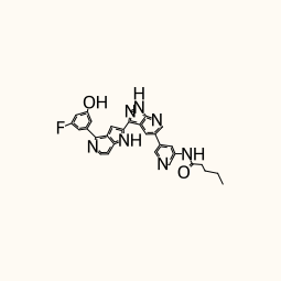 CCCCC(=O)Nc1cncc(-c2cnc3[nH]nc(-c4cc5c(-c6cc(O)cc(F)c6)nccc5[nH]4)c3c2)c1